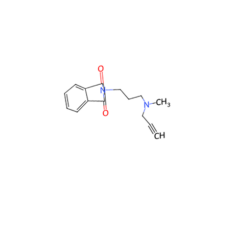 C#CCN(C)CCCN1C(=O)c2ccccc2C1=O